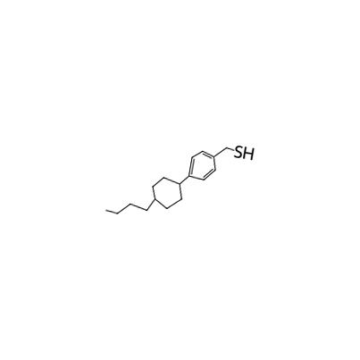 CCCCC1CCC(c2ccc(CS)cc2)CC1